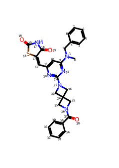 CN(Cc1ccccc1)c1cc(C=C2SC(=O)NC2=O)nc(N2CC3(CN(C(=O)c4ccccc4)C3)C2)n1